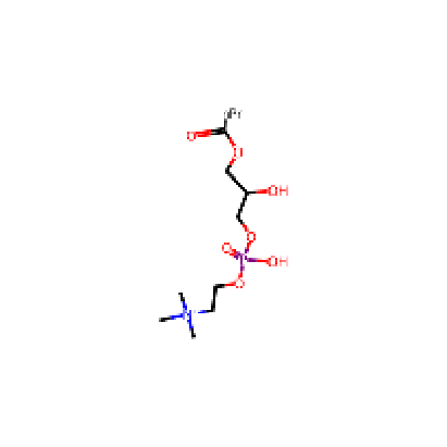 CCCC(=O)OCC(O)COP(=O)(O)OCC[N+](C)(C)C